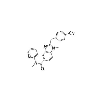 CN(C(=O)c1ccc2c(c1)nc(Cc1ccc(C#N)cc1)n2C)c1ccccn1